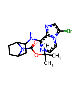 CC(C)(C)OC(=O)N1C2CCC1C(Nc1nccn3c(Br)cnc13)C2